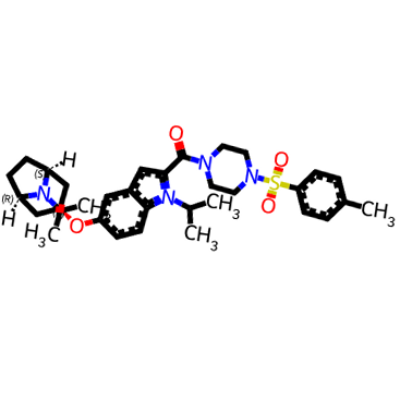 Cc1ccc(S(=O)(=O)N2CCN(C(=O)c3cc4cc(O[C@H]5C[C@H]6CC[C@@H](C5)N6C(C)C)ccc4n3C(C)C)CC2)cc1